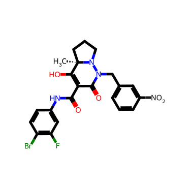 C[C@]12CCCN1N(Cc1cccc([N+](=O)[O-])c1)C(=O)C(C(=O)Nc1ccc(Br)c(F)c1)=C2O